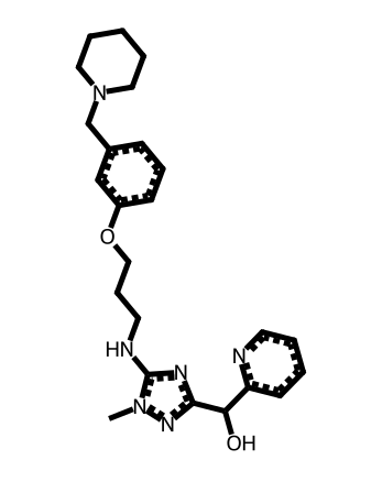 Cn1nc(C(O)c2ccccn2)nc1NCCCOc1cccc(CN2CCCCC2)c1